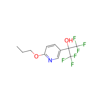 CCCOc1ccc(C(O)(C(F)(F)F)C(F)(F)F)cn1